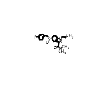 CCCn1nc(C(=O)N(C)C)c2c1CCC([S+]([O-])Cc1ccc(F)cc1)C2